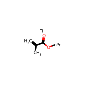 C=C(C)C(=O)OCCC.[Ti]